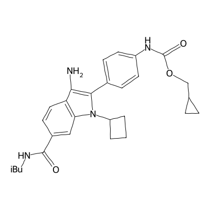 CCC(C)NC(=O)c1ccc2c(N)c(-c3ccc(NC(=O)OCC4CC4)cc3)n(C3CCC3)c2c1